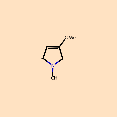 COC1=C[CH]N(C)C1